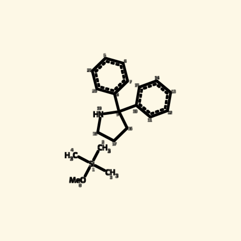 CO[Si](C)(C)C.c1ccc(C2(c3ccccc3)CCCN2)cc1